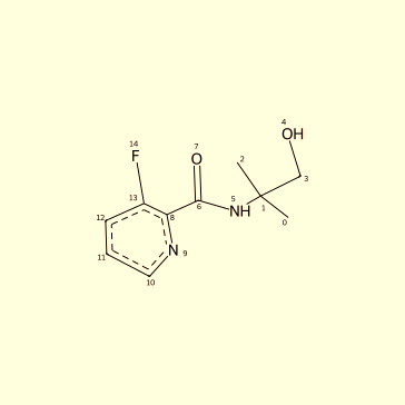 CC(C)(CO)NC(=O)c1ncccc1F